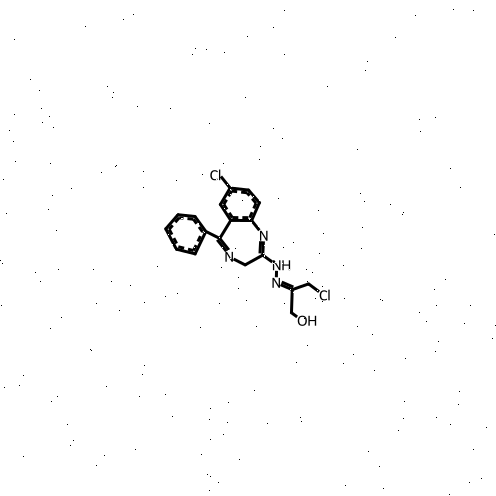 OCC(CCl)=NNC1=Nc2ccc(Cl)cc2C(c2ccccc2)=NC1